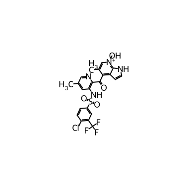 Cc1cnc(C(=O)c2c(C)c[n+](O)c3[nH]ccc23)c(NS(=O)(=O)c2ccc(Cl)c(C(F)(F)F)c2)c1